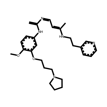 C=C(/N=C\C=C(/C)NCCc1cccnc1)Nc1ccc(OC)c(OCCCN2CCCC2)c1